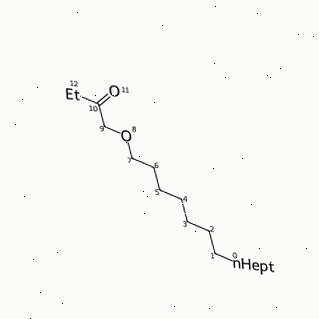 CCCCCCCCCCCCCCOCC(=O)CC